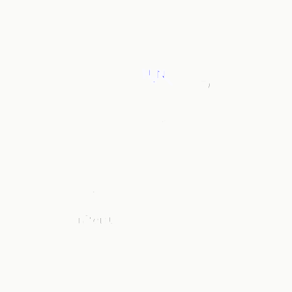 CCCCCCCCCCCC(N)CC